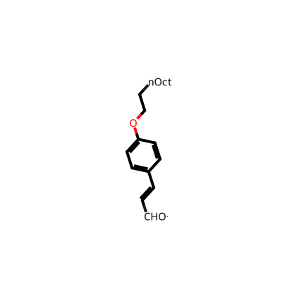 CCCCCCCCCCOc1ccc(C=C[C]=O)cc1